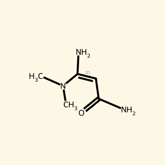 CN(C)/C(N)=C\C(N)=O